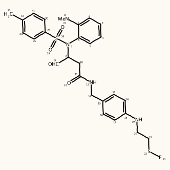 CNc1ccccc1N(C(C=O)CC(=O)NCc1ccc(NCCSF)cc1)S(=O)(=O)c1ccc(C)cc1